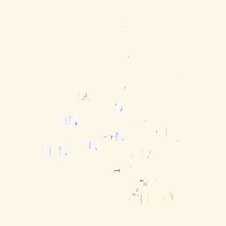 C=C(c1cccc2c1Cc1ccccc1-2)c1nc2c(=O)[nH]c(N)nc2n1[C@@H]1O[C@H](CO)[C@@H](O)[C@H]1O